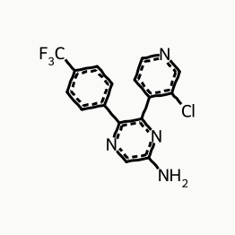 Nc1cnc(-c2ccc(C(F)(F)F)cc2)c(-c2ccncc2Cl)n1